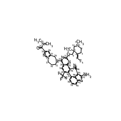 CN1CC/C(=C\F)[C@](C)(COc2nc(N3CCCn4nc(C(=O)N(C)C)cc4C3)c3cc(C(F)(F)F)c(-c4cccc5sc(N)c(C#N)c45)c(F)c3n2)C1